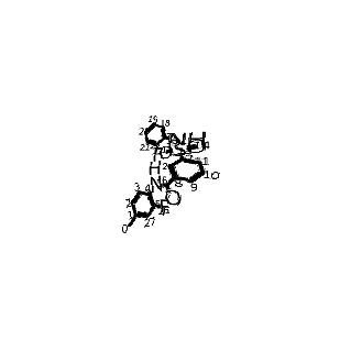 Cc1ccc(NC(=O)c2cccc(S(=O)(=O)Nc3ccccc3F)c2)c(F)c1